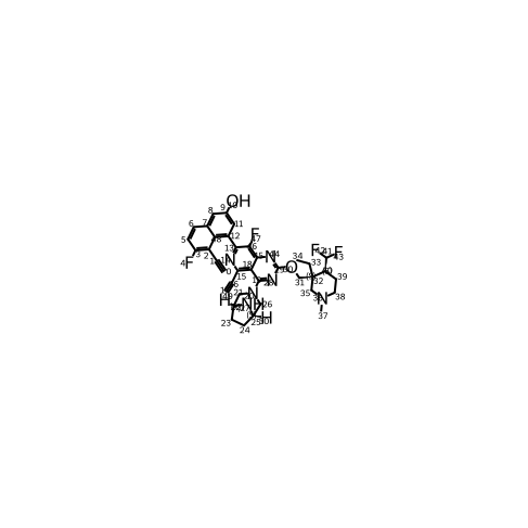 C#Cc1c(F)ccc2cc(O)cc(-c3nc(C#C)c4c(N5C[C@H]6CC[C@@H](C5)N6)nc(OC[C@]5(CC)CN(C)CC[C@@H]5C(F)F)nc4c3F)c12